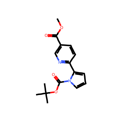 COC(=O)c1ccc(-c2cccn2C(=O)OC(C)(C)C)nc1